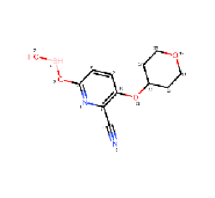 N#Cc1nc(OBO)ccc1OC1CCOCC1